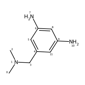 CN(C)Cc1cc(N)cc(N)c1